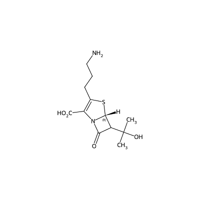 CC(C)(O)C1C(=O)N2C(C(=O)O)=C(CCCN)S[C@H]12